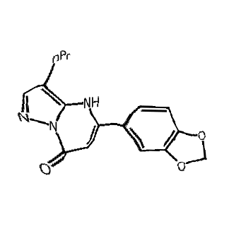 CCCc1cnn2c(=O)cc(-c3ccc4c(c3)OCO4)[nH]c12